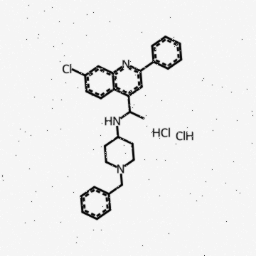 CC(NC1CCN(Cc2ccccc2)CC1)c1cc(-c2ccccc2)nc2cc(Cl)ccc12.Cl.Cl